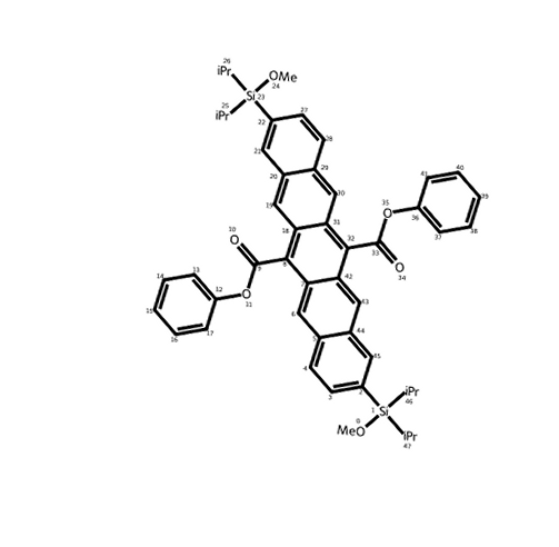 CO[Si](c1ccc2cc3c(C(=O)Oc4ccccc4)c4cc5cc([Si](OC)(C(C)C)C(C)C)ccc5cc4c(C(=O)Oc4ccccc4)c3cc2c1)(C(C)C)C(C)C